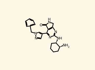 N[C@H]1CCCC[C@H]1Nc1nc2c(c(-c3cnn(Cc4ccccc4)c3)n1)C(=O)NC2